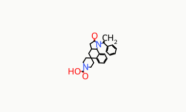 C=C(c1ccccc1)N1C(=O)CC2CC3(CCN(C(=O)O)CC3)c3ccccc3C21